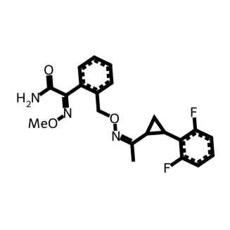 CON=C(C(N)=O)c1ccccc1CON=C(C)C1CC1c1c(F)cccc1F